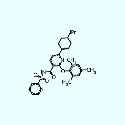 Cc1cc(C)c(Oc2nc(C3=CCC(C(C)C)CC3)ccc2C(=O)NS(=O)(=O)c2ccccn2)c(C)c1